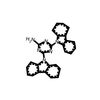 Nc1nc(-n2c3ccccc3c3ccccc32)nc(-n2c3ccccc3c3ccccc32)n1